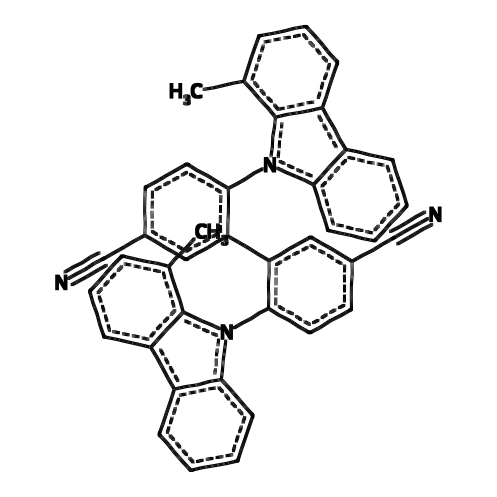 Cc1cccc2c3ccccc3n(-c3ccc(C#N)cc3-c3cc(C#N)ccc3-n3c4ccccc4c4cccc(C)c43)c12